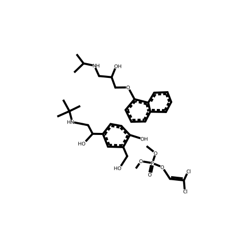 CC(C)(C)NCC(O)c1ccc(O)c(CO)c1.CC(C)NCC(O)COc1cccc2ccccc12.COP(=O)(OC)OC=C(Cl)Cl